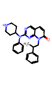 CC(Cn1c(=O)ccc2cnc(N(c3ccccc3)C3CCNCC3)nc21)c1ccccc1